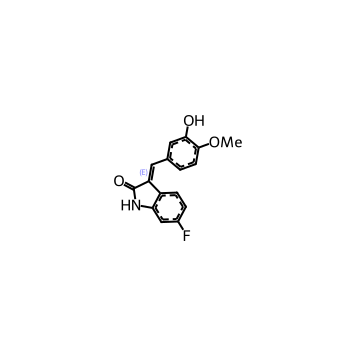 COc1ccc(/C=C2/C(=O)Nc3cc(F)ccc32)cc1O